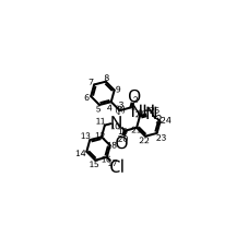 NC(=O)[C@@H](c1ccccc1)N(Cc1cccc(Cl)c1)C(=O)c1cccnc1